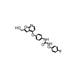 O=C(NOc1ccc(F)cc1)Nc1ccc(Oc2ccnc3oc(CO)cc23)cc1